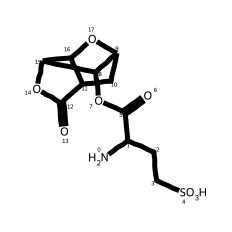 NC(CCS(=O)(=O)O)C(=O)OC1C2CC3C(=O)OC1C3O2